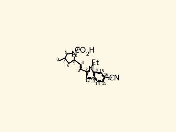 CCn1c(C=CC2CC(C)CN2C(=O)O)cc2ccc(C#N)cc21